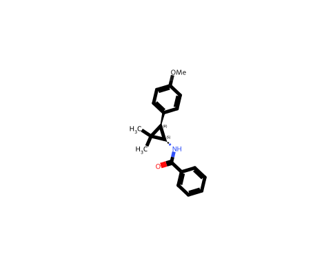 COc1ccc([C@H]2[C@H](NC(=O)c3ccccc3)C2(C)C)cc1